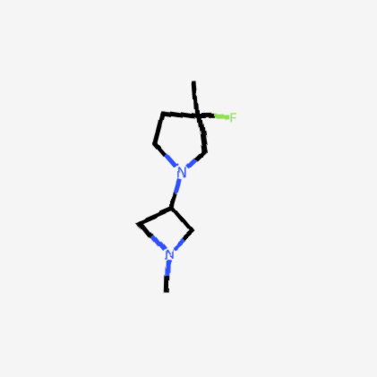 CN1CC(N2CCC(C)(F)C2)C1